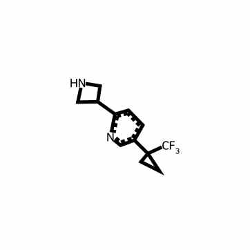 FC(F)(F)C1(c2ccc(C3CNC3)nc2)CC1